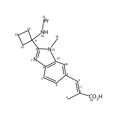 C/C(=C\c1ccc2nc(C3(NC(C)C)CCC3)n(C)c2c1)C(=O)O